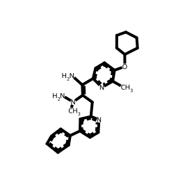 Cc1nc(/C(N)=C(\Cc2cc(-c3ccccc3)ccn2)N(C)N)ccc1OC1CCCCC1